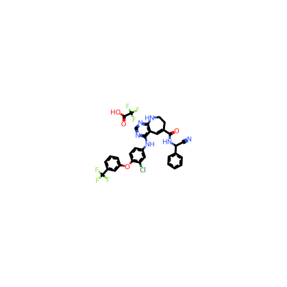 N#CC(NC(=O)C1=Cc2c(ncnc2Nc2ccc(Oc3cccc(C(F)(F)F)c3)c(Cl)c2)NCC1)c1ccccc1.O=C(O)C(F)(F)F